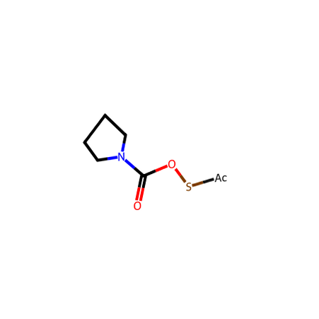 CC(=O)SOC(=O)N1CCCC1